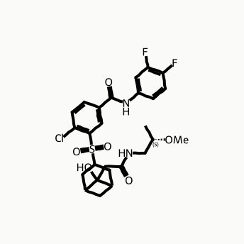 CO[C@@H](C)CNC(=O)CC1(O)C2CC1CC(S(=O)(=O)c1cc(C(=O)Nc3ccc(F)c(F)c3)ccc1Cl)C2